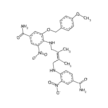 COc1ccc(COc2cc(C(N)=O)cc([N+](=O)[O-])c2NCC(C)=C(C)CNc2ccc(C(N)=O)cc2[N+](=O)[O-])cc1